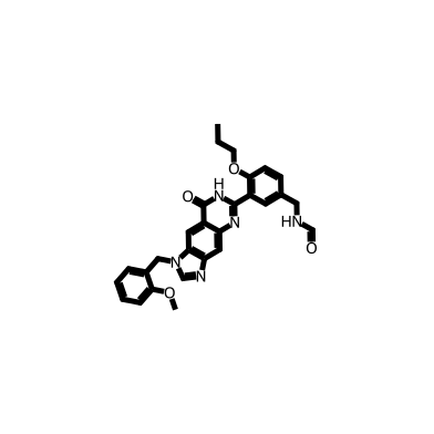 CCCOc1ccc(CNC=O)cc1-c1nc2cc3ncn(Cc4ccccc4OC)c3cc2c(=O)[nH]1